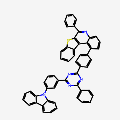 c1ccc(-c2nc(-c3ccc(-c4cccc5nc(-c6ccccc6)c6sc7ccccc7c6c45)cc3)nc(-c3cccc(-n4c5ccccc5c5ccccc54)c3)n2)cc1